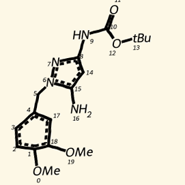 COc1ccc(Cn2nc(NC(=O)OC(C)(C)C)cc2N)cc1OC